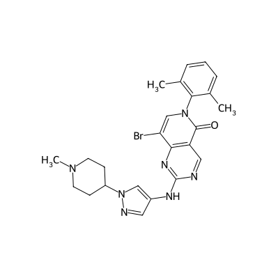 Cc1cccc(C)c1-n1cc(Br)c2nc(Nc3cnn(C4CCN(C)CC4)c3)ncc2c1=O